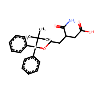 CC(C)(C)[Si](OCCC(CC(=O)O)C(N)=O)(c1ccccc1)c1ccccc1